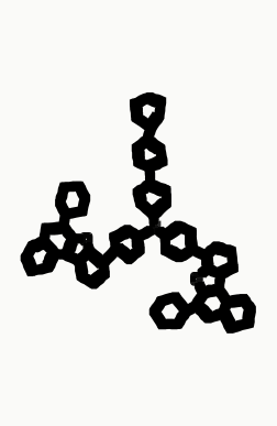 c1ccc(-c2ccc(-c3ccc(N(c4ccc(-c5cccc6c5oc5c(C7CCCCC7)cc7ccccc7c56)cc4)c4ccc(-c5cccc6c5oc5c(C7CCCCC7)cc7ccccc7c56)cc4)cc3)cc2)cc1